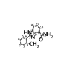 Cc1ccccc1-c1nc2c(C(N)=O)cccc2[nH]1